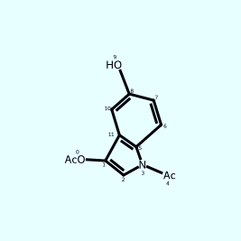 CC(=O)Oc1cn(C(C)=O)c2ccc(O)cc12